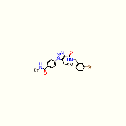 CCNC(=O)c1ccc(-n2nnc(C(=O)NCc3cccc(Br)c3)c2CSC)cc1